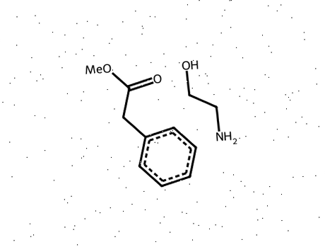 COC(=O)Cc1ccccc1.NCCO